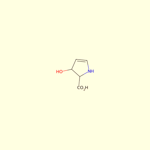 O=C(O)C1NC=CC1O